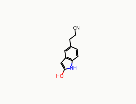 N#CCCc1ccc2[nH]c(O)cc2c1